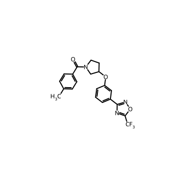 Cc1ccc(C(=O)N2CCC(Oc3cccc(-c4noc(C(F)(F)F)n4)c3)C2)cc1